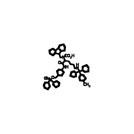 Cc1ccc(C(NCCCC[C@@H](C(=O)Nc2ccc(CO[Si](c3ccccc3)(c3ccccc3)C(C)(C)C)cc2)N(CC2c3ccccc3-c3ccccc32)C(=O)O)(c2ccccc2)c2ccccc2)cc1